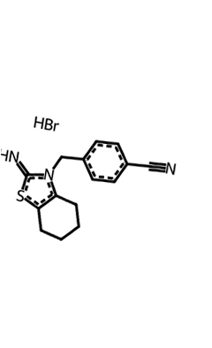 Br.N#Cc1ccc(Cn2c3c(sc2=N)CCCC3)cc1